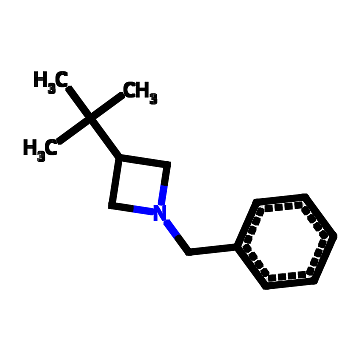 CC(C)(C)C1CN(Cc2ccccc2)C1